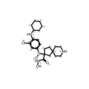 O=C(NO)C1([S+]([O-])c2ccc(NC3CCCCC3)c(Cl)c2)CCC2(CCNCC2)C1